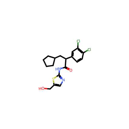 O=C(Nc1ncc(CO)s1)C(CC1CCCC1)c1ccc(Cl)c(Cl)c1